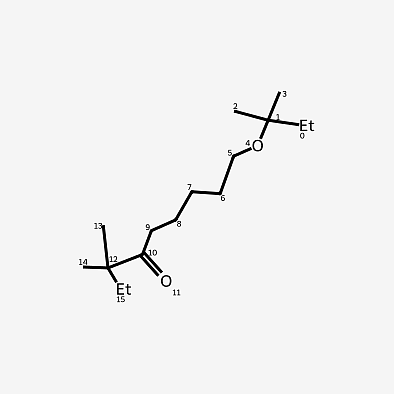 CCC(C)(C)OCCCCCC(=O)C(C)(C)CC